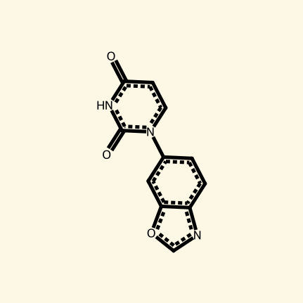 O=c1ccn(-c2ccc3ncoc3c2)c(=O)[nH]1